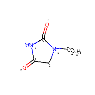 O=C1CN(C(=O)O)C(=O)N1